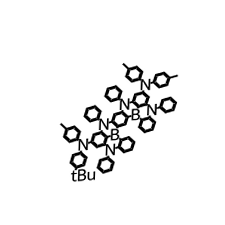 Cc1ccc(N(c2ccc(C)cc2)c2cc3c4c(c2)N(c2ccccc2)c2cc5c(cc2B4c2ccccc2N3c2ccccc2)B2c3ccccc3N(c3ccccc3)c3cc(N(c4ccc(C)cc4)c4ccc(C(C)(C)C)cc4)cc(c32)N5c2ccccc2)cc1